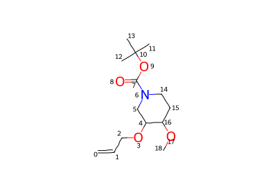 C=CCOC1CN(C(=O)OC(C)(C)C)CCC1OC